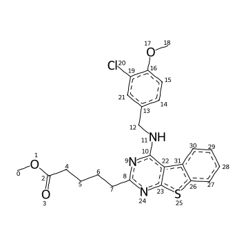 COC(=O)CCCCc1nc(NCc2ccc(OC)c(Cl)c2)c2c(n1)sc1ccccc12